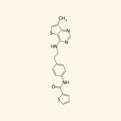 Cc1csc2c(NCCc3ccc(NC(=O)c4cccs4)cc3)ncnc12